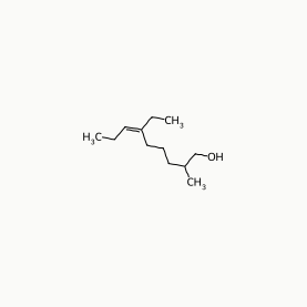 CC/C=C(/CC)CCCC(C)CO